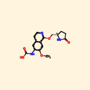 COc1cc2c(OC[C@@H]3CCC(=O)N3)nccc2cc1NC(=O)O